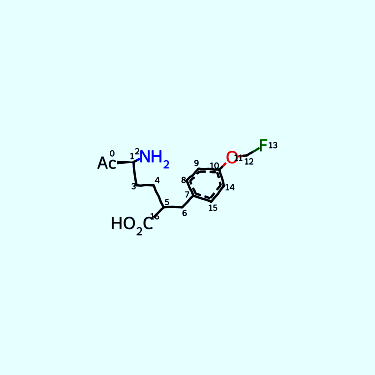 CC(=O)[C@@H](N)CCC(Cc1ccc(OCF)cc1)C(=O)O